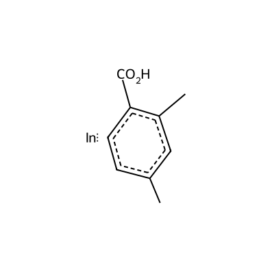 Cc1ccc(C(=O)O)c(C)c1.[In]